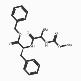 CCC(C)C(NC(=O)OC(C)(C)C)C(=O)N[C@@H](Cc1ccccc1)C(=O)OCc1ccccc1